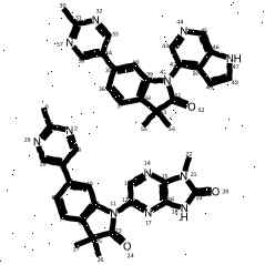 Cc1ncc(-c2ccc3c(c2)N(c2cnc4c(n2)[nH]c(=O)n4C)C(=O)C3(C)C)cn1.Cc1ncc(-c2ccc3c(c2)N(c2cncc4[nH]ccc24)C(=O)C3(C)C)cn1